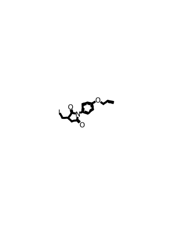 C=CCOc1ccc(N2C(=O)CC(CI)C2=O)cc1